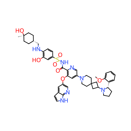 COc1ccccc1[C@@H]1CCCN1C1CC2(CCN(c3cnc(C(=O)NS(=O)(=O)c4ccc(NC[C@H]5CC[C@](C)(O)CC5)c(O)c4)c(Oc4cnc5[nH]ccc5c4)c3)CC2)C1